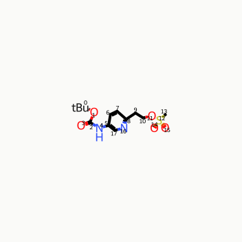 CC(C)(C)OC(=O)Nc1ccc(CCOS(C)(=O)=O)nc1